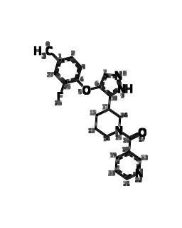 Cc1ccc(Oc2cn[nH]c2C2CCCN(C(=O)c3cccnc3)C2)c(F)c1